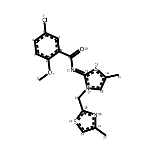 COc1ccc(Cl)cc1C(=O)N=c1sc(C)cn1Cc1nc(C)cs1